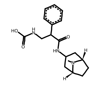 CN1[C@@H]2CC[C@H]1CC(NC(=O)C(CNC(=O)O)c1ccccc1)C2